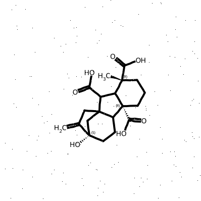 C=C1CC23C[C@@]1(O)CCC2[C@]1(C(=O)O)CCC[C@@](C)(C(=O)O)C1C3C(=O)O